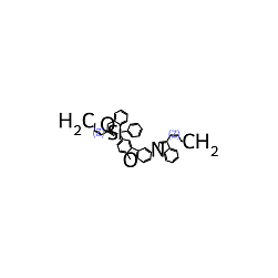 C=C/C=C\C1=C[Si](c2ccccc2)(c2ccc3oc4ccc(-n5cc(/C=C\C=C)c6ccccc65)cc4c3c2)c2ccccc2O1